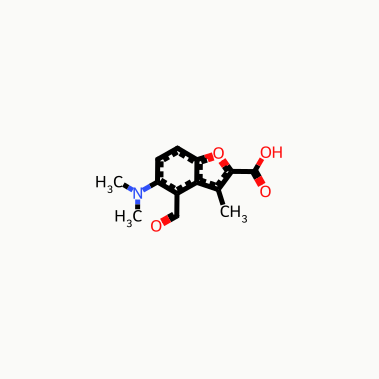 Cc1c(C(=O)O)oc2ccc(N(C)C)c(C=O)c12